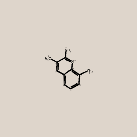 Cc1cc2cccc(C)c2nc1N